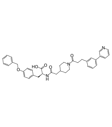 O=C(CC1CCN(C(=O)CCc2cccc(-c3cccnc3)c2)CC1)N[C@@H](Cc1ccc(OCc2ccccc2)cc1)C(=O)O